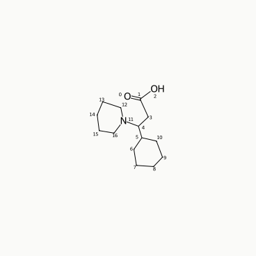 O=C(O)CC(C1CCCCC1)N1CCCCC1